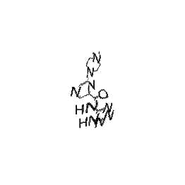 CN1CCN(c2cncc(C(=O)Nc3nnn[nH]3)n2)CC1